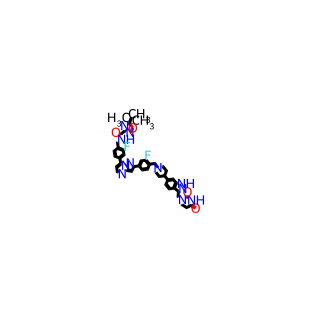 CC(C)(C)c1nc(C(=O)NCc2ccc(-c3ccnc4cc(-c5ccc(CN6CCC(c7ccc8c(CN9CCC(=O)NC9=O)n[nH]c8c7)CC6)c(F)c5)nn34)cc2F)no1